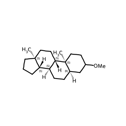 COC1CC[C@@]2(C)[C@H](CC[C@H]3[C@@H]4CCC[C@@]4(C)CC[C@@H]32)C1